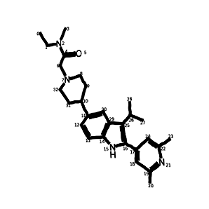 CCN(C)C(=O)CN1CCC(c2ccc3[nH]c(-c4cc(C)nc(C)c4)c(C(C)C)c3c2)CC1